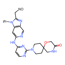 CC(C)n1c(CN=O)nc2cnc(Nc3ccnc(N4CCC5(CC4)CNC(=O)CO5)n3)cc21